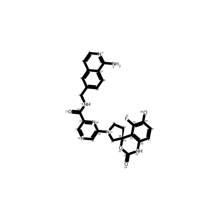 Nc1nccc2cc(CNC(=O)c3cncc(N4CC[C@]5(C4)OC(=O)Nc4ccc(Cl)c(F)c45)n3)ccc12